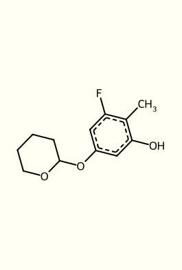 Cc1c(O)cc(OC2CCCCO2)cc1F